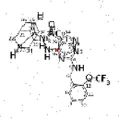 N#Cc1cnc(NCc2ccccc2OC(F)(F)F)nc1NCC12CC3C[C@H](C1)C(NC(=O)c1cccnc1)[C@@H](C3)C2